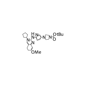 COC1=CC2=NC(Nc3ccc(N4CCN(C(=O)OC(C)(C)C)CC4)cn3)N(C3CCCC3)C=C2CC1